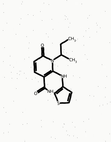 CCC(C)n1c(Nc2ccsc2)c(C(N)=O)ccc1=O